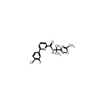 Cc1nc(C(C)(C)NC(=O)c2cccc(-c3ccc(Cl)c(F)c3)n2)no1